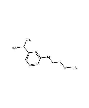 COCCNc1cccc(C(C)C)n1